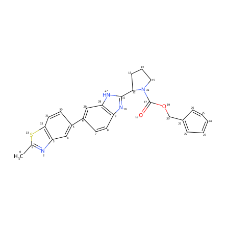 Cc1nc2cc(-c3ccc4nc(C5CCCN5C(=O)OCc5ccccc5)[nH]c4c3)ccc2s1